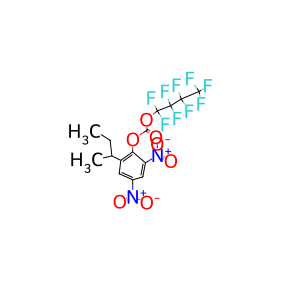 CCC(C)c1cc([N+](=O)[O-])cc([N+](=O)[O-])c1OC(=O)OC(F)(F)C(F)(F)C(F)(F)C(F)(F)F